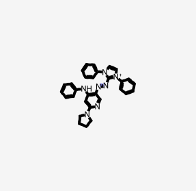 c1ccc(Nc2cc(N3CCCC3)ncc2/N=N/c2n(-c3ccccc3)cc[n+]2-c2ccccc2)cc1